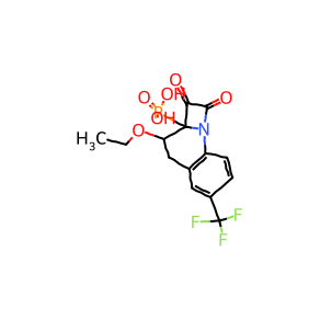 CCOC1Cc2cc(C(F)(F)F)ccc2N2C(=O)C(=O)C12P(=O)(O)O